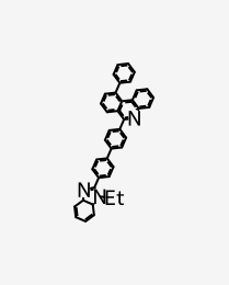 CCN1C(c2ccc(-c3ccc(-c4nc5ccccc5c5c(-c6ccccc6)cccc45)cc3)cc2)=NC2C=CC=CC21